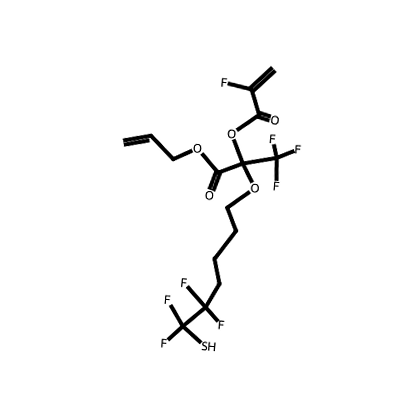 C=CCOC(=O)C(OCCCCC(F)(F)C(F)(F)S)(OC(=O)C(=C)F)C(F)(F)F